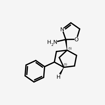 NC1([C@@]23CC[C@@H](C2)C(c2ccccc2)C3)N=CCO1